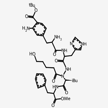 CC[C@H](C)[C@@H](C(=O)NC(Cc1ccccc1)C(=O)OC)N(NC(=O)C(Cc1c[nH]cn1)NC(=O)C(N)Cc1ccc(C(=O)OC(C)(C)C)c(N)c1)C(=O)CCCCO